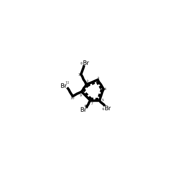 BrCc1ccc(Br)c(Br)c1CBr